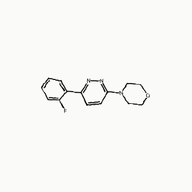 Fc1ccccc1-c1ccc(N2CCOCC2)nn1